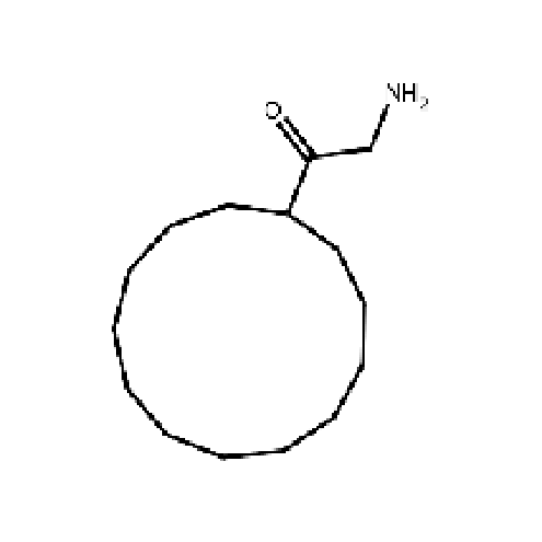 NCC(=O)C1CCCCCCCCCCCC1